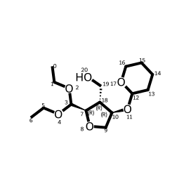 CCOC(OCC)[C@@H]1OC[C@H](OC2CCCCO2)[C@H]1CO